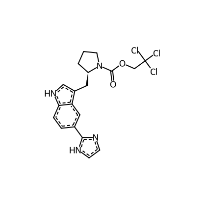 O=C(OCC(Cl)(Cl)Cl)N1CCC[C@@H]1Cc1c[nH]c2ccc(-c3ncc[nH]3)cc12